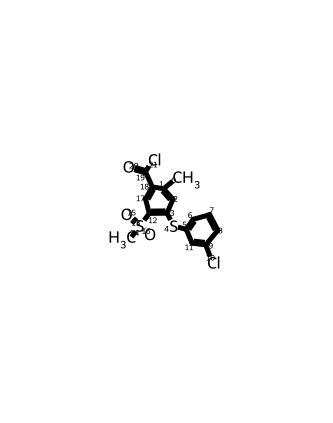 Cc1cc(Sc2cccc(Cl)c2)c(S(C)(=O)=O)cc1C(=O)Cl